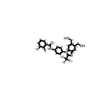 O=C(Nc1ccc(-n2c(C(F)(F)F)nc3cc(CO)c(CO)cc32)cc1)c1cccc(F)c1F